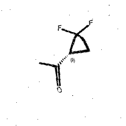 CC(=O)[C@H]1CC1(F)F